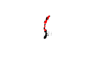 Cc1ccc(S(=O)(=O)NC(=O)Nc2ccc(C(=O)OCCCCOc3ccc(S(=O)(=O)c4ccc(OC(C)C)cc4)cc3)cc2)cc1